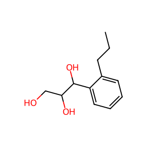 CCCc1ccccc1C(O)C(O)CO